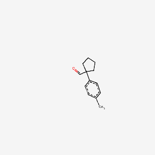 Cc1ccc(C2(C=O)CCCC2)cc1